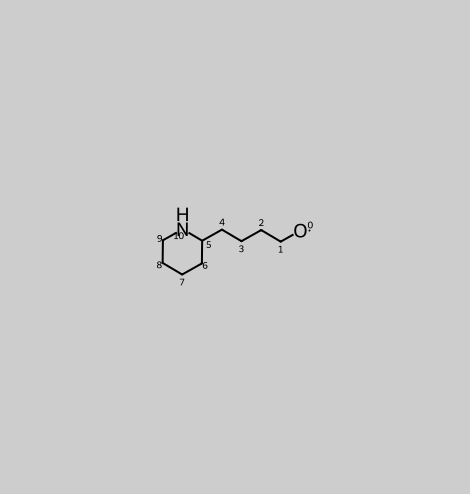 [O]CCCCC1CCCCN1